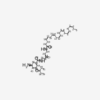 CC/C=C\C/C=C\C/C=C\C/C=C\C/C=C\C/C=C\CCC(=O)NCCN(C)CCNC(=O)C1=C[C@@H](OC(CC)CC)[C@H](C)[C@@H](N)C1